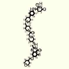 O=C1CCC(Nc2ccc(C3CCN(CC4CCN(C(=O)CN5CCC(SCc6nc7cc(OCC8CCOCC8)cc(F)c7c(=O)[nH]6)CC5)CC4)CC3)cc2)C(=O)N1